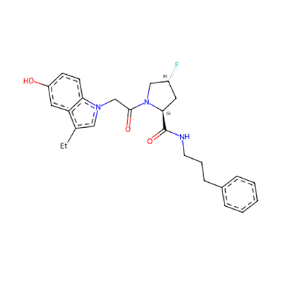 CCc1cn(CC(=O)N2C[C@H](F)C[C@H]2C(=O)NCCCc2ccccc2)c2ccc(O)cc12